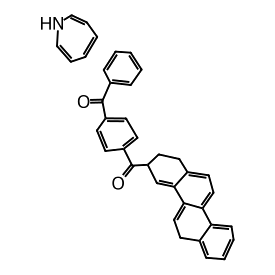 C1=CC=CNC=C1.O=C(c1ccccc1)c1ccc(C(=O)C2C=c3c(ccc4c3=CCc3ccccc3-4)CC2)cc1